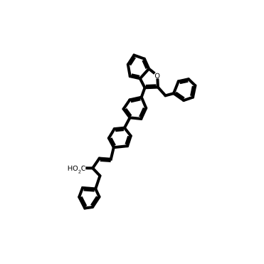 O=C(O)C(/C=C/c1ccc(-c2ccc(-c3c(Cc4ccccc4)oc4ccccc34)cc2)cc1)Cc1ccccc1